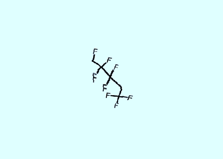 FCC(F)(F)C(F)(F)CC(F)(F)F